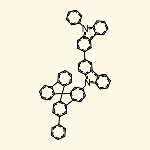 c1ccc(-c2ccc3c(c2)-c2ccc(-n4c5ccccc5c5cc(-c6ccc7c(c6)c6ccccc6n7-c6ccccc6)ccc54)cc2C32c3ccccc3-c3ccccc32)cc1